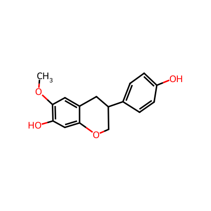 COc1cc2c(cc1O)OCC(c1ccc(O)cc1)C2